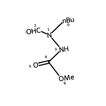 CCCCN([C]=O)NC(=O)OC